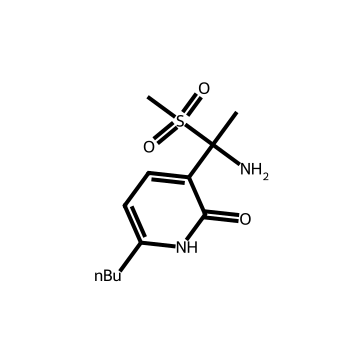 CCCCc1ccc(C(C)(N)S(C)(=O)=O)c(=O)[nH]1